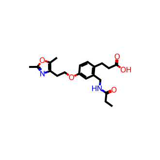 CCC(=O)NCc1cc(OCCc2nc(C)oc2C)ccc1CCC(=O)O